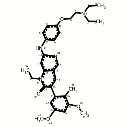 CCN(CC)CCOc1ccc(Nc2cc3c(cn2)cc(-c2cc(OC)cc(OC)c2C)c(=O)n3CC)cc1